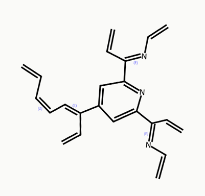 C=C/C=C\C=C(/C=C)c1cc(/C(C=C)=N/C=C)nc(/C(C=C)=N/C=C)c1